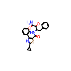 NC(=O)C(=O)C(Cc1ccccc1)NC(=O)c1sc(C2CC2)nc1-c1ccccc1